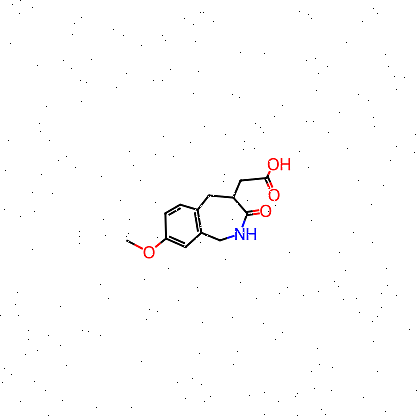 COc1ccc2c(c1)CNC(=O)C(CC(=O)O)C2